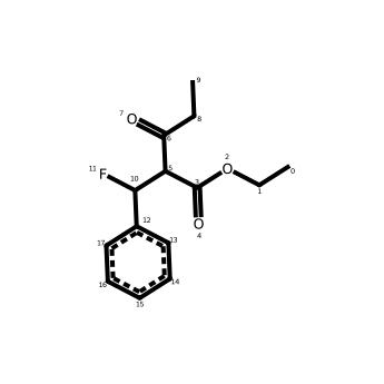 CCOC(=O)C(C(=O)CC)C(F)c1ccccc1